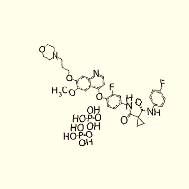 COc1cc2c(Oc3ccc(NC(=O)C4(C(=O)Nc5ccc(F)cc5)CC4)cc3F)ccnc2cc1OCCCN1CCOCC1.O=P(O)(O)O.O=P(O)(O)O